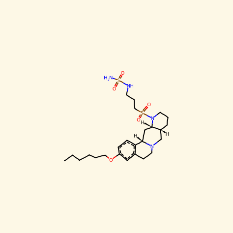 CCCCCCOc1ccc2c(c1)CCN1C[C@H]3CCCN(S(=O)(=O)CCCNS(N)(=O)=O)[C@H]3C[C@@H]21